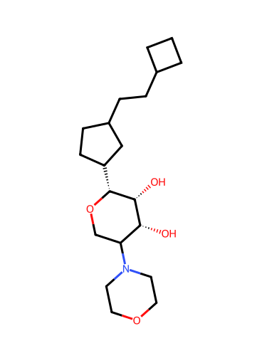 O[C@@H]1[C@H](O)C(N2CCOCC2)CO[C@@H]1C1CCC(CCC2CCC2)C1